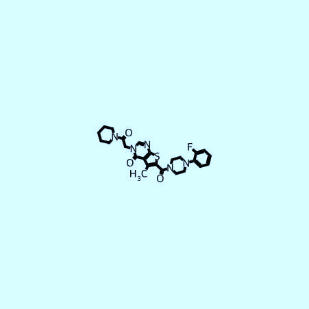 Cc1c(C(=O)N2CCN(c3ccccc3F)CC2)sc2ncn(CC(=O)N3CCCCC3)c(=O)c12